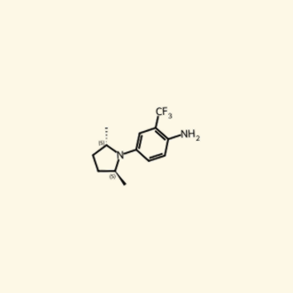 C[C@H]1CC[C@H](C)N1c1ccc(N)c(C(F)(F)F)c1